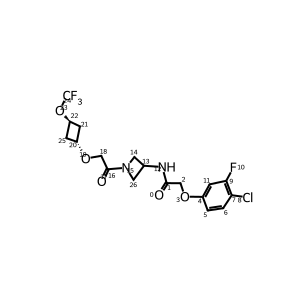 O=C(COc1ccc(Cl)c(F)c1)NC1CN(C(=O)CO[C@H]2C[C@H](OC(F)(F)F)C2)C1